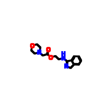 O=C(CN1CCOCC1)OCCNC1=NCc2ccccc21